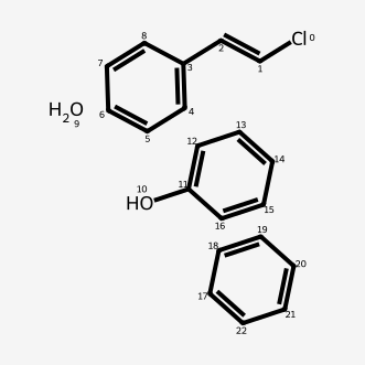 ClC=Cc1ccccc1.O.Oc1ccccc1.c1ccccc1